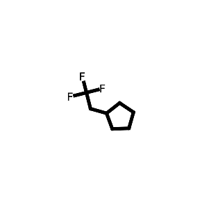 FC(F)(F)C[C]1CCCC1